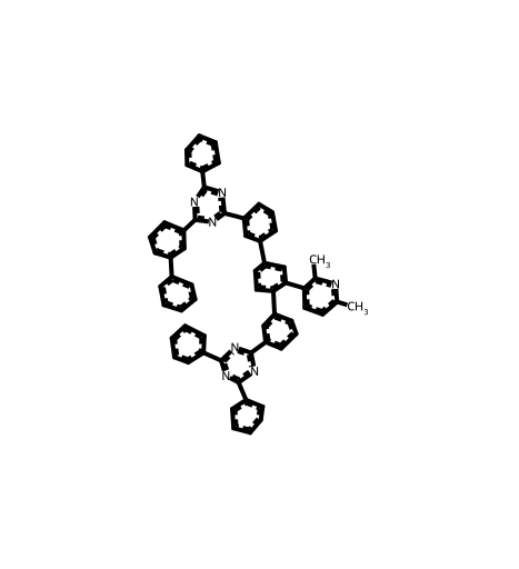 Cc1ccc(-c2cc(-c3cccc(-c4nc(-c5ccccc5)nc(-c5cccc(-c6ccccc6)c5)n4)c3)ccc2-c2cccc(-c3nc(-c4ccccc4)nc(-c4ccccc4)n3)c2)c(C)n1